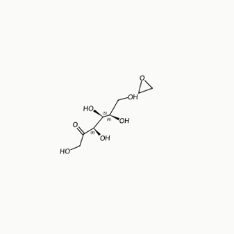 C1CO1.O=C(CO)[C@H](O)[C@@H](O)[C@H](O)CO